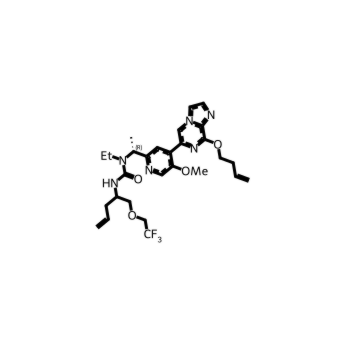 C=CCCOc1nc(-c2cc([C@@H](C)N(CC)C(=O)NC(CC=C)COCC(F)(F)F)ncc2OC)cn2ccnc12